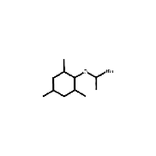 CC1CC(C)C(OC(C)C(C)(C)C)C(C)C1